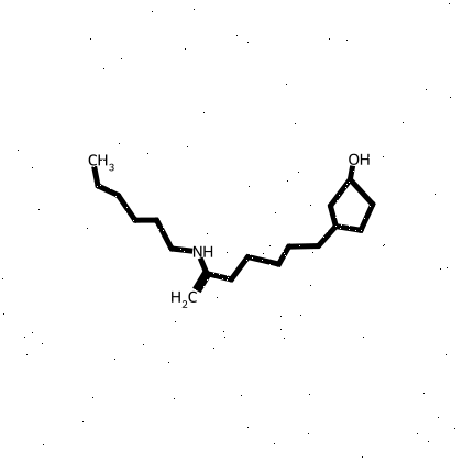 C=C(CCCCCC1CCC(O)C1)NCCCCCC